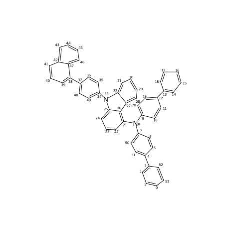 c1ccc(-c2ccc(N(c3ccc(-c4ccccc4)cc3)c3cccc4c3c3ccccc3n4-c3ccc(-c4cccc5ccccc45)cc3)cc2)cc1